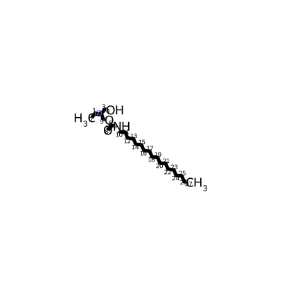 C/C=C(/CO)COC(=O)NCCCCCCCCCCCCCCCCCC